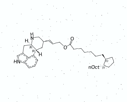 CCCCCCCC[C@H]1CCC[C@@H]1CCCCCCC(=O)OCC=CC1CN[C@@H]2Cc3c[nH]c4cccc(c34)[C@H]2C1